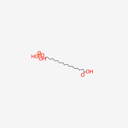 O=C(O)CCCCCCCCCCCCCCCCOP(=O)(O)O